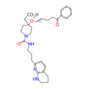 O=C(O)CC1(O/C=C/CCC(=O)c2ccccc2)CCN(C(=O)NCCCc2ccc3c(n2)NCCC3)CC1